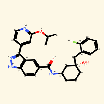 CC(C)Oc1cc(-c2n[nH]c3ccc(C(=O)N[C@@H]4CCC[C@](O)(Cc5ccccc5F)C4)cc23)ccn1